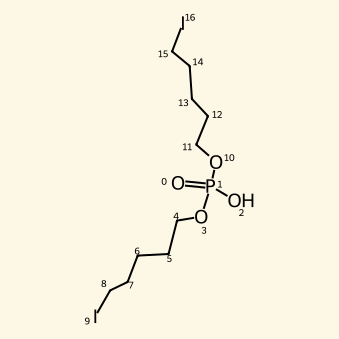 O=P(O)(OCCCCCI)OCCCCCI